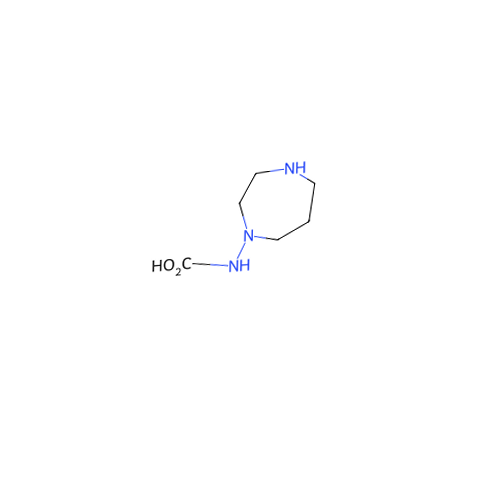 O=C(O)NN1CCCNCC1